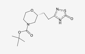 CC(C)(C)OC(=O)N1CCO[C@H](CCc2nsc(=O)[nH]2)C1